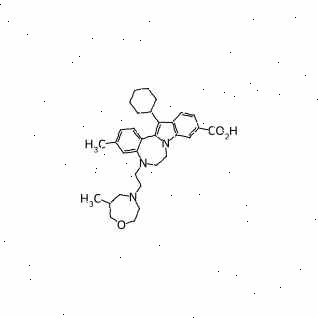 Cc1ccc2c(c1)N(CCN1CCOCC(C)C1)CCn1c-2c(C2CCCCC2)c2ccc(C(=O)O)cc21